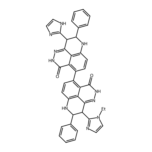 CCn1ccnc1C1c2n[nH]c(=O)c3c(-c4ccc5c6c(n[nH]c(=O)c46)C(c4ncc[nH]4)C(c4ccccc4)N5)ccc(c23)NC1c1ccccc1